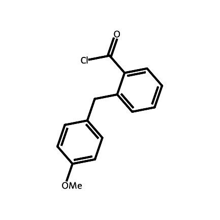 COc1ccc(Cc2ccccc2C(=O)Cl)cc1